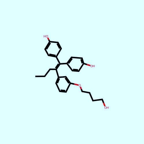 CCCC(=C(c1ccc(O)cc1)c1ccc(O)cc1)c1cccc(OCCCCO)c1